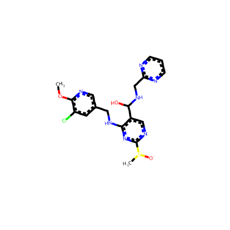 COc1ncc(CNc2nc([S+](C)[O-])ncc2C(O)NCc2ncccn2)cc1Cl